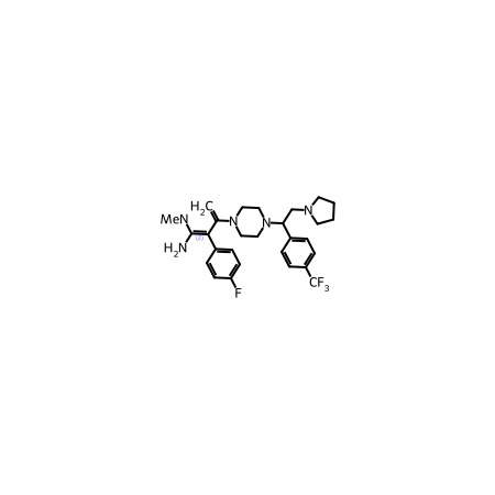 C=C(/C(=C(/N)NC)c1ccc(F)cc1)N1CCN(C(CN2CCCC2)c2ccc(C(F)(F)F)cc2)CC1